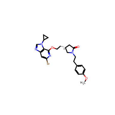 COc1ccc(CCN2C[C@H](CCOc3nc(Br)cc4ncn(C5CC5)c34)CC2=O)cc1